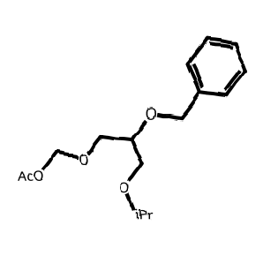 CC(=O)OCOCC(COC(C)C)OCc1ccccc1